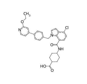 CCOc1cc(-c2ccc(Cn3ccc4c(Cl)ccc(C(=O)NC5CCC(C(=O)O)CC5)c43)cc2)ccn1